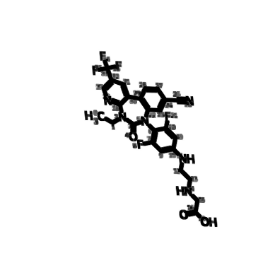 CCN1C(=O)N(c2c(F)cc(NCCNCC(=O)O)cc2F)c2cc(C#N)ccc2-c2cc(C(F)(F)F)cnc21